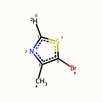 [2H]c1nc(C)c(Br)s1